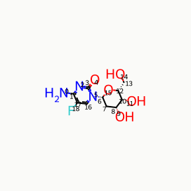 Nc1nc(=O)n([C@H]2C[C@@H](O)[C@@H](O)[C@@H](CO)O2)cc1F